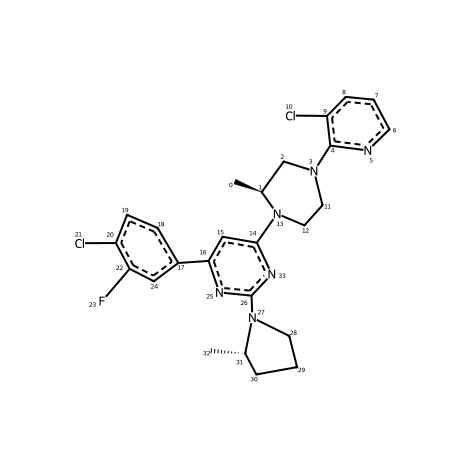 C[C@H]1CN(c2ncccc2Cl)CCN1c1cc(-c2ccc(Cl)c(F)c2)nc(N2CCC[C@@H]2C)n1